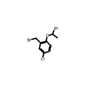 CC(C)C(C)Oc1ccc(Cl)cc1CBr